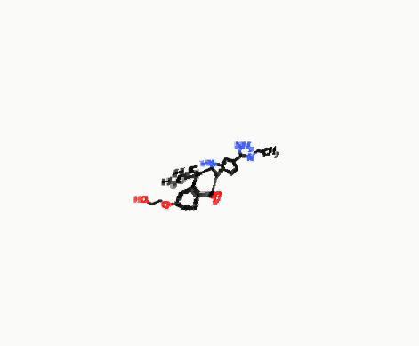 CC/N=C(\N)c1ccc2c3c([nH]c2c1)C(C)(C)c1cc(OCCO)ccc1C3=O